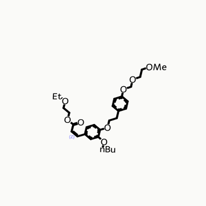 CCCCOc1cc(/C=C\C(=O)OCCOCC)ccc1OCCc1ccc(OCOCCOC)cc1